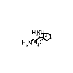 CC1CCCCC1(C)C(N)CCN